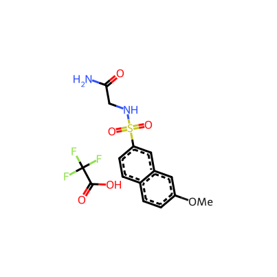 COc1ccc2ccc(S(=O)(=O)NCC(N)=O)cc2c1.O=C(O)C(F)(F)F